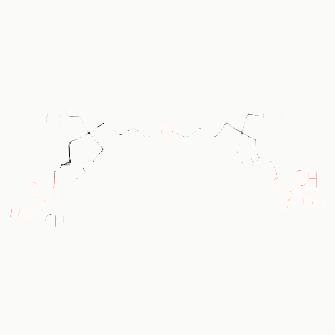 CCC(CC)(CCCCOCCCCC(CC)(CC)CCCOP(=O)(O)O)CCCOP(C)(=O)O